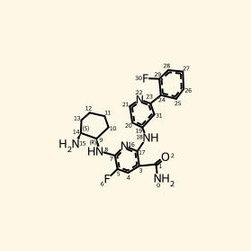 NC(=O)c1cc(F)c(N[C@@H]2CCCC[C@@H]2N)nc1Nc1ccnc(-c2ccccc2F)c1